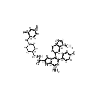 Cn1cnc2ccc(-c3c(-c4ccc(F)cc4)nc(N)c4nc(C(=O)NCC5CCN(Cc6ccc(F)cc6F)CC5)cn34)cc21